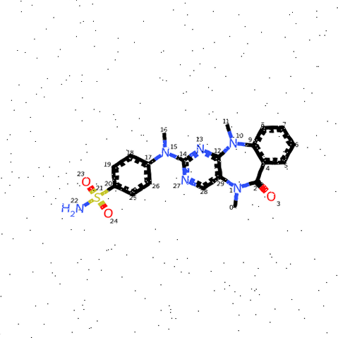 CN1C(=O)c2ccccc2N(C)c2nc(N(C)c3ccc(S(N)(=O)=O)cc3)ncc21